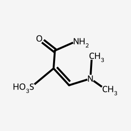 CN(C)C=C(C(N)=O)S(=O)(=O)O